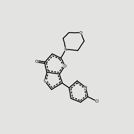 O=c1cc(N2CCOCC2)oc2c(-c3ccc(Cl)nc3)csc12